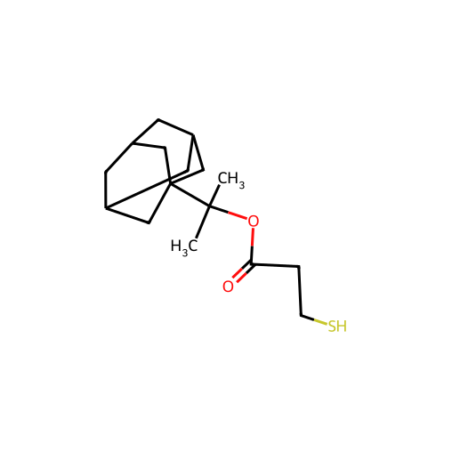 CC(C)(OC(=O)CCS)C12CC3CC(CC(C3)C1)C2